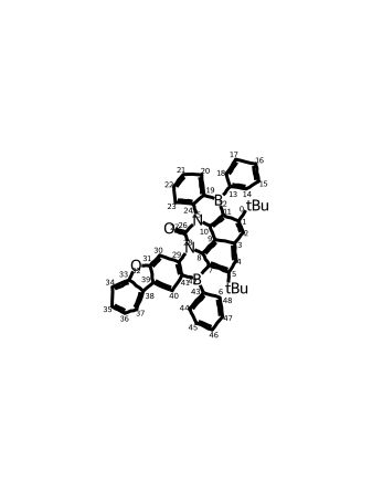 CC(C)(C)c1cc2cc(C(C)(C)C)c3c4c2c2c1B(c1ccccc1)c1ccccc1N2C(=O)N4c1cc2oc4ccccc4c2cc1B3c1ccccc1